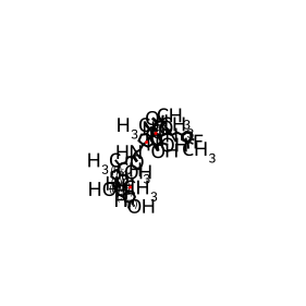 Cc1cc(CNC(=O)c2nc3n(c(=O)c2O)CC2(CNC(=O)CCC(C)[C@H]4CC[C@H]5[C@@H]6[C@H](O)C[C@@H]7C[C@H](O)CC[C@]7(C)[C@H]6C[C@H](O)[C@]45C)CCC3(N(C)C(=O)C(=O)N(C)C)CC2)ccc1F